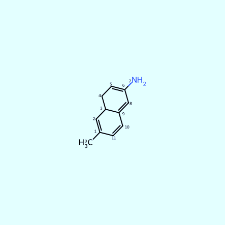 CC1=CC2CC=C(N)C=C2C=C1